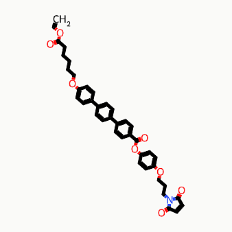 C=COC(=O)CCCCCOc1ccc(-c2ccc(-c3ccc(C(=O)Oc4ccc(OCCCN5C(=O)C=CC5=O)cc4)cc3)cc2)cc1